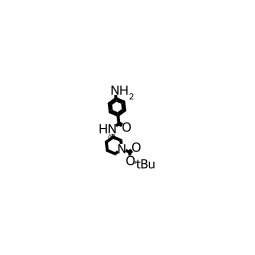 CC(C)(C)OC(=O)N1CCC[C@H](NC(=O)c2ccc(N)cc2)C1